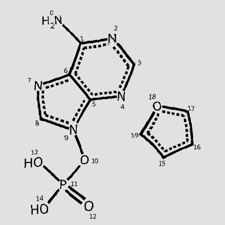 Nc1ncnc2c1ncn2OP(=O)(O)O.c1ccoc1